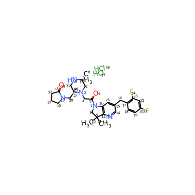 C[C@@H]1CN(CC(=O)N2CC(C)(C)c3ncc(Cc4ccc(F)cc4F)cc32)[C@@H](CN2CCCC2=O)CN1.Cl.Cl